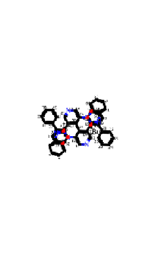 CC(C)(C)c1nc2ccccc2n1-c1cncc(-c2ccccc2-c2ccccc2)c1-c1c(-c2ccccc2-c2ccccc2)cncc1-n1c(C(C)(C)C)nc2ccccc21